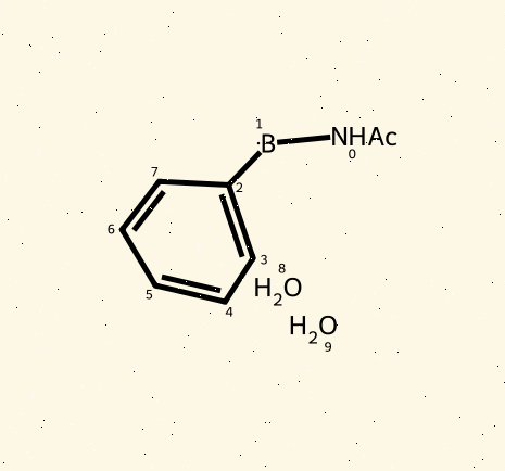 CC(=O)N[B]c1ccccc1.O.O